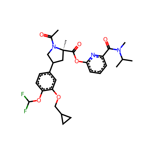 CC(=O)N1CC(c2ccc(OC(F)F)c(OCC3CC3)c2)C[C@]1(C)C(=O)Oc1cccc(C(=O)N(C)C(C)C)n1